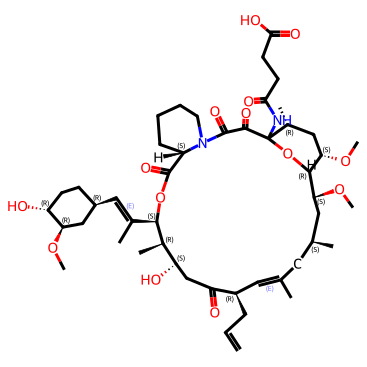 C=CC[C@@H]1/C=C(\C)C[C@H](C)C[C@H](OC)[C@H]2OC(NC(=O)CCC(=O)O)(C(=O)C(=O)N3CCCC[C@H]3C(=O)O[C@H](/C(C)=C/[C@@H]3CC[C@@H](O)[C@H](OC)C3)[C@H](C)[C@@H](O)CC1=O)[C@H](C)C[C@@H]2OC